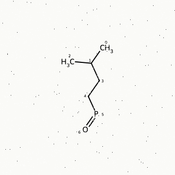 CC(C)CCP=O